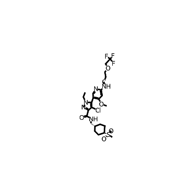 CCn1nc(C(=O)NC[C@H]2CC[C@@H](S(C)(=O)=O)CC2)c(Cl)c1-c1cnc(NCCCOCC(F)(F)F)cc1OC